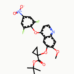 COc1cc2nccc(Oc3c(F)cc([N+](=O)[O-])cc3F)c2cc1OC1(C(=O)OC(C)(C)C)CC1